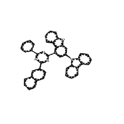 c1ccc(-c2nc(-c3ccc4ccccc4c3)nc(-c3cc(-n4c5ccccc5c5ccccc54)cc4oc5ccccc5c34)n2)cc1